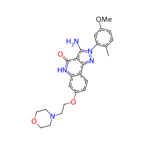 COc1ccc(C)c(-n2nc3c(c2N)c(=O)[nH]c2cc(OCCN4CCOCC4)ccc23)c1